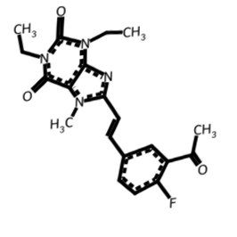 CCn1c(=O)c2c(nc(/C=C/c3ccc(F)c(C(C)=O)c3)n2C)n(CC)c1=O